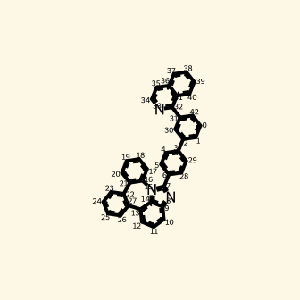 c1cc(-c2ccc(-c3nc4cccc5c4n3-c3ccccc3-c3ccccc3-5)cc2)cc(-c2nccc3ccccc23)c1